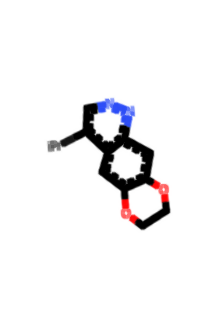 CC(C)c1cnnc2cc3c(cc12)OCCO3